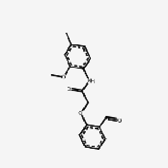 COc1cc(C)ccc1NC(=O)COc1ccccc1C=O